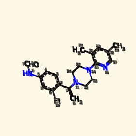 C=C(c1ccc(NC=O)cc1CC)N1CCN(c2ncc(C)cc2C)CC1